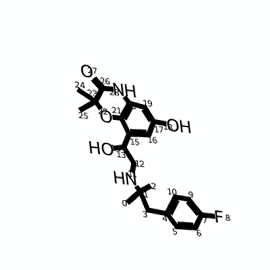 CC(C)(Cc1ccc(F)cc1)NCC(O)c1cc(O)cc2c1OC(C)(C)C(=O)N2